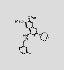 COc1cc2nc(N3CCOCC3)nc(NN=Cc3cccc(C)c3)c2cc1OC